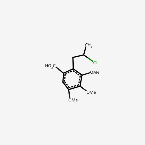 COc1cc(C(=O)O)c(CC(C)Cl)c(OC)c1OC